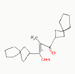 C/C(C(=O)C1CC2(CCCC2)C1)=C(/O)C1CC2(CCCC2)C1